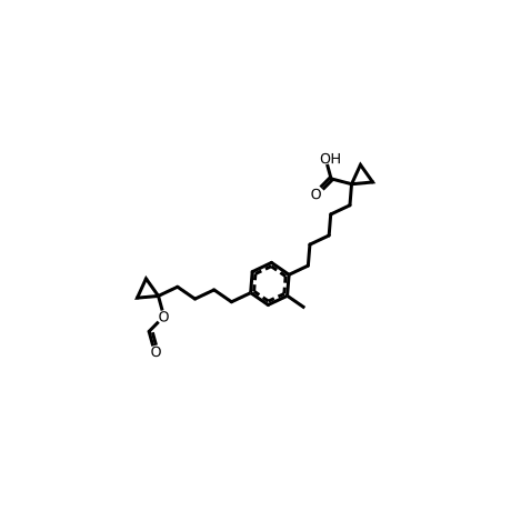 Cc1cc(CCCCC2(OC=O)CC2)ccc1CCCCCC1(C(=O)O)CC1